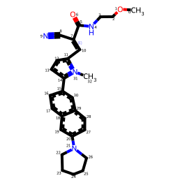 COCCNC(=O)/C(C#N)=C/c1ccc(-c2ccc3cc(N4CCCCC4)ccc3c2)n1C